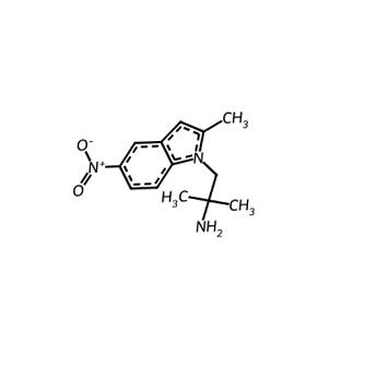 Cc1cc2cc([N+](=O)[O-])ccc2n1CC(C)(C)N